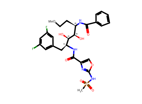 COCC[C@@H](NC(=O)c1ccccc1)[C@@H](O)[C@H](O)[C@H](Cc1cc(F)cc(F)c1)NC(=O)c1coc(NS(C)(=O)=O)n1